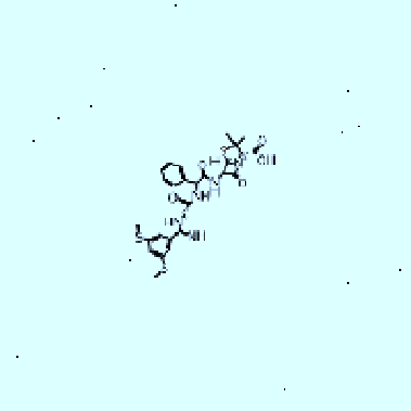 CSc1cc(SC)cc(C(=N)NCC(=O)NC(C(=O)NC2C(=O)N3[C@@H]2SC(C)(C)[C@@H]3C(=O)O)c2ccccc2)c1